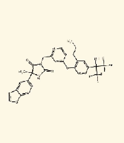 CCCc1cc(C(O)(C(F)(F)F)C(F)(F)F)ccc1Oc1ccnc(CN2C(=O)NC(C)(c3ccc4occc4c3)C2=O)c1